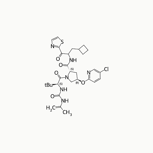 C=C(C)NC(=O)N[C@H](C(=O)N1C[C@H](Oc2ccc(Cl)cn2)C[C@H]1C(=O)NC(CC1CCC1)C(=O)c1nccs1)C(C)(C)C